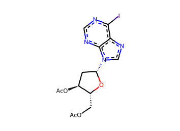 CC(=O)OC[C@H]1O[C@@H](n2cnc3c(I)ncnc32)C[C@@H]1OC(C)=O